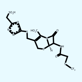 O=C(CSC(F)(F)F)NC1C(=O)N2C(C(=O)O)=C(CSc3nnc(CS(=O)(=O)O)o3)CS[C@H]12